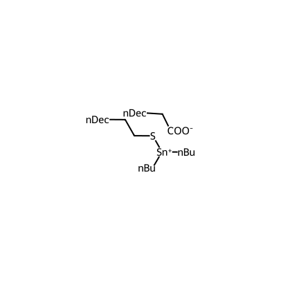 CCCCCCCCCCCC(=O)[O-].CCCCCCCCCCCC[S][Sn+]([CH2]CCC)[CH2]CCC